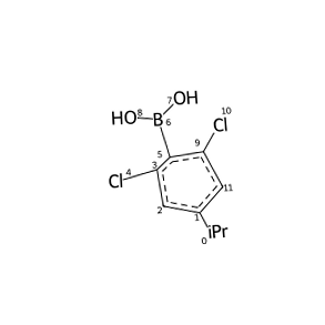 CC(C)c1cc(Cl)c(B(O)O)c(Cl)c1